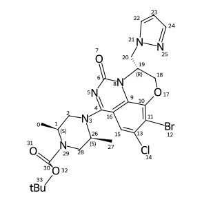 C[C@H]1CN(c2nc(=O)n3c4c(c(Br)c(Cl)cc24)OC[C@H]3Cn2cccn2)[C@@H](C)CN1C(=O)OC(C)(C)C